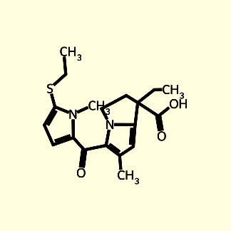 CCSc1ccc(C(=O)c2c(C)cc3n2CCC3(CC)C(=O)O)n1C